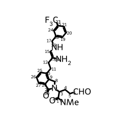 CNC(=O)C(CCC=O)N1Cc2c(CC/C(N)=C/NCc3cccc(C(F)(F)F)c3)cccc2C1=O